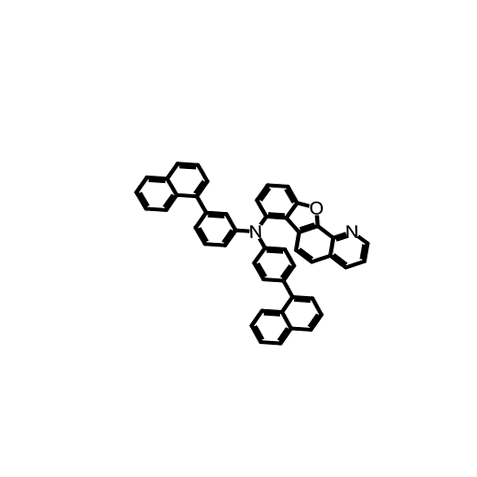 c1cc(-c2cccc3ccccc23)cc(N(c2ccc(-c3cccc4ccccc34)cc2)c2cccc3oc4c(ccc5cccnc54)c23)c1